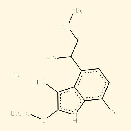 CCOC(=O)Oc1[nH]c2c(O)ccc(C(O)CNC(C)(C)C)c2c1C.Cl